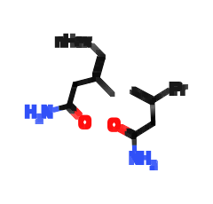 C=C(CC(N)=O)C(C)C.CCCCCCC=C(C)CC(N)=O